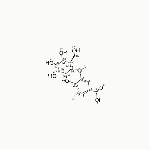 COc1cc(C(=O)O)cc(C)c1O[C@@H]1O[C@H](CO)[C@@H](O)[C@H](O)[C@H]1O